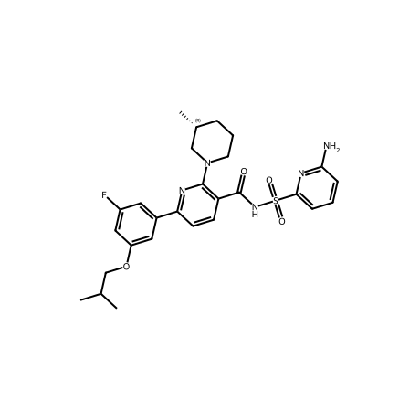 CC(C)COc1cc(F)cc(-c2ccc(C(=O)NS(=O)(=O)c3cccc(N)n3)c(N3CCC[C@@H](C)C3)n2)c1